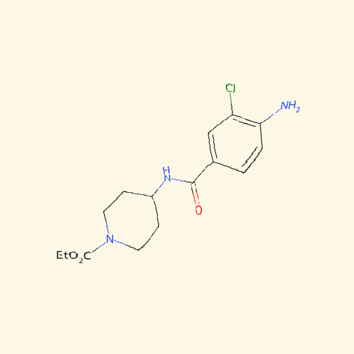 CCOC(=O)N1CCC(NC(=O)c2ccc(N)c(Cl)c2)CC1